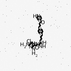 N=C(NCCCCN1CCN(CCCC(=O)N2CCNCC2)CC1)NC(=O)c1nc(Cl)c(N)nc1N